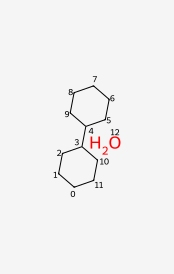 C1CCC(C2CCCCC2)CC1.O